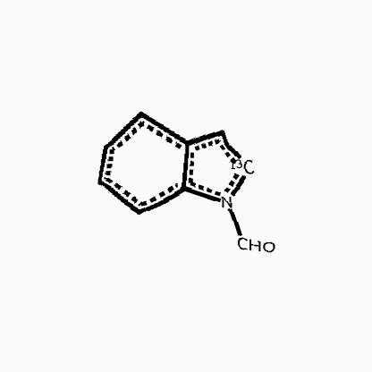 O=Cn1[13cH]cc2ccccc21